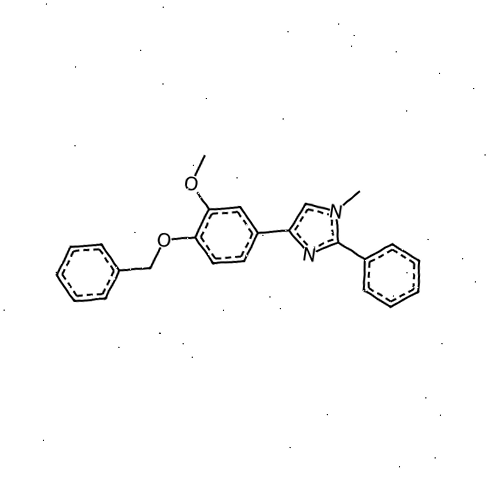 COc1cc(-c2cn(C)c(-c3ccccc3)n2)ccc1OCc1ccccc1